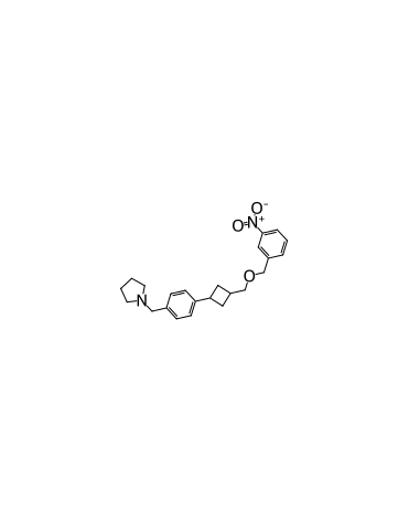 O=[N+]([O-])c1cccc(COCC2CC(c3ccc(CN4CCCC4)cc3)C2)c1